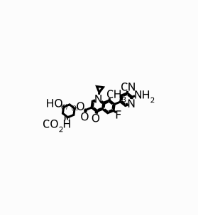 Cc1c(-c2cnc(N)c(C#N)c2)c(F)cc2c(=O)c(C(=O)O[C@H]3C[C@@H](O)C[C@@H](C(=O)O)C3)cn(C3CC3)c12